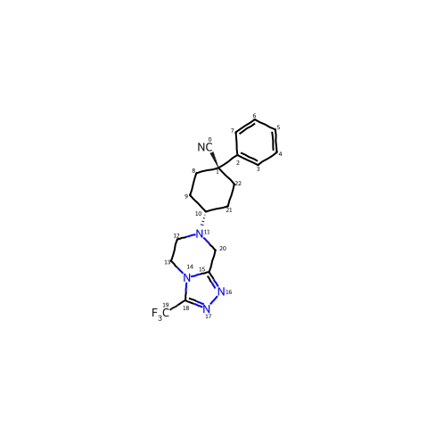 N#C[C@]1(c2ccccc2)CC[C@@H](N2CCn3c(nnc3C(F)(F)F)C2)CC1